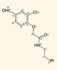 CC(C)CCNC(=O)COc1ccc(C=O)cc1Cl